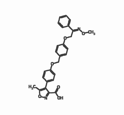 CO/N=C(\COc1ccc(COc2ccc(-c3c(C(=O)O)noc3C)cc2)cc1)c1ccccc1